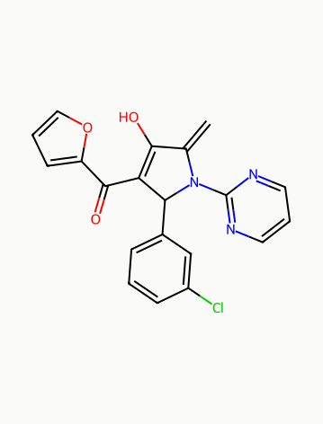 C=C1C(O)=C(C(=O)c2ccco2)C(c2cccc(Cl)c2)N1c1ncccn1